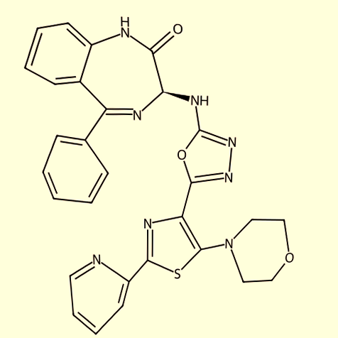 O=C1Nc2ccccc2C(c2ccccc2)=N[C@@H]1Nc1nnc(-c2nc(-c3ccccn3)sc2N2CCOCC2)o1